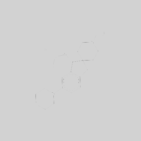 CC(C)(C)[S@@+]([O-])N=C1c2cc(N3CCOCC3)ccc2CC12CCN(C(=O)O)CC2